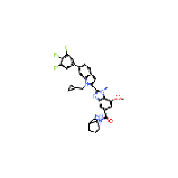 COc1cc(C(=O)N2CC3CCC2C3N)cc2nc(-c3cc4ccc(-c5cc(F)c(F)c(F)c5)cc4n3CC3CC3)n(C)c12